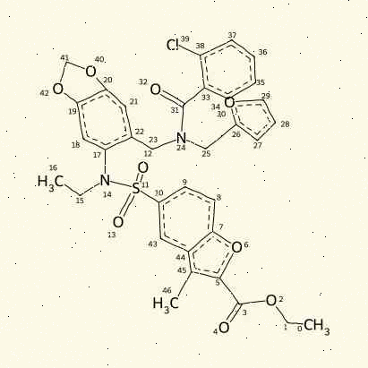 CCOC(=O)c1oc2ccc(S(=O)(=O)N(CC)c3cc4c(cc3CN(Cc3ccco3)C(=O)c3ccccc3Cl)OCO4)cc2c1C